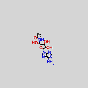 CCC(=O)N[C@H](O)[C@H]1O[C@@H](n2cnc3c(N)ncnc32)[C@H](O)[C@@H]1O